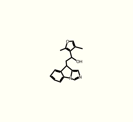 Cc1coc(C)c1C(O)CC1c2ccccc2-n2cncc21